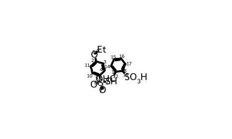 CCOc1ccc(S(=O)(=O)S)cc1.O=Cc1ccccc1S(=O)(=O)O